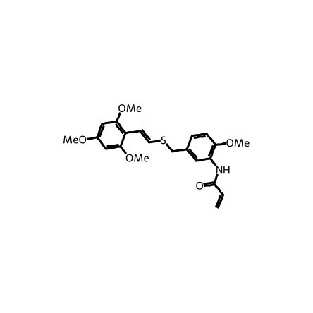 C=CC(=O)Nc1cc(CS/C=C/c2c(OC)cc(OC)cc2OC)ccc1OC